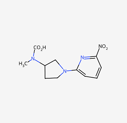 CN(C(=O)O)C1CCN(c2cccc([N+](=O)[O-])n2)C1